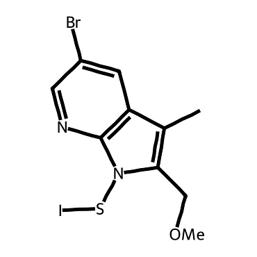 COCc1c(C)c2cc(Br)cnc2n1SI